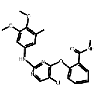 CNC(=O)c1ccccc1Oc1nc(Nc2cc(C)c(OC)c(OC)c2)ncc1Cl